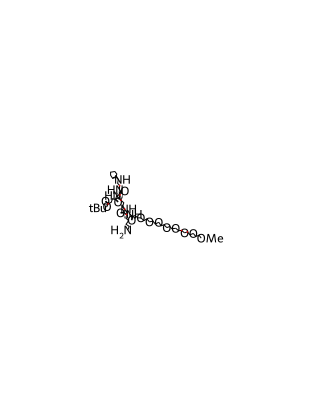 COCCOCCOCCOCCOCCOCCOCCOCCC(=O)N[C@@H](CCCCN)C(=O)NCCCC[C@H](NC(=O)CCC(=O)OC(C)(C)C)C(=O)NCCNC1=CCCCC1